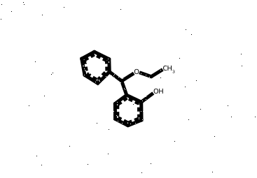 CCOC(c1ccccc1)c1ccccc1O